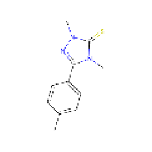 Cc1ccc(-c2nn(C)c(=S)n2C)cc1